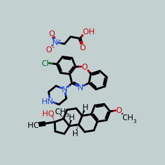 C#C[C@]1(O)CC[C@H]2[C@@H]3CCc4cc(OC)ccc4[C@H]3CC[C@@]21C.Clc1ccc2c(c1)C(N1CCNCC1)=Nc1ccccc1O2.O=C(O)CC[N+](=O)[O-]